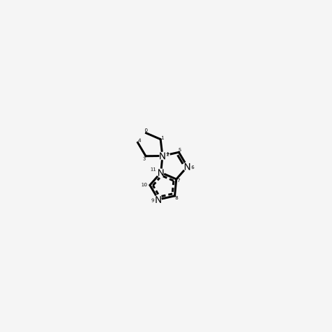 CC[N+]1(CC)C=Nc2cncn21